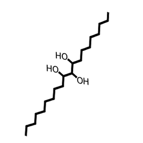 CCCCCCCCCC(O)C(O)C(O)CCCCCCCCC